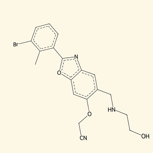 Cc1c(Br)cccc1-c1nc2cc(CNCCO)c(OCC#N)cc2o1